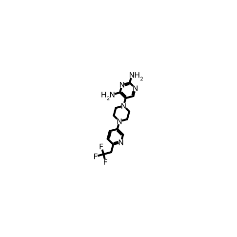 Nc1ncc(N2CCN(c3ccc(CC(F)(F)F)nc3)CC2)c(N)n1